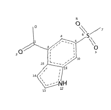 CC(=O)c1cc(S(C)(=O)=O)cc2[nH]ccc12